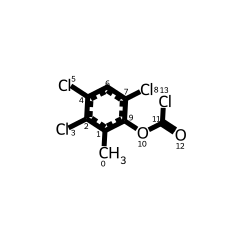 Cc1c(Cl)c(Cl)cc(Cl)c1OC(=O)Cl